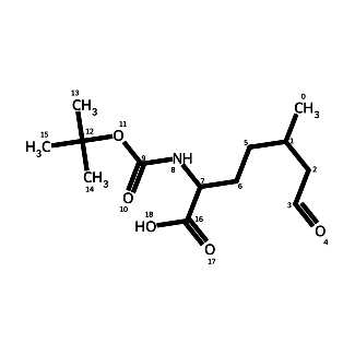 CC(CC=O)CCC(NC(=O)OC(C)(C)C)C(=O)O